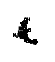 CC(C)(CC(=O)O)CC(=O)Nc1cc(Cl)cc2c(S(=O)(=O)N3CCO[C@H](COc4ccccc4)C3)c(C(N)=O)[nH]c12